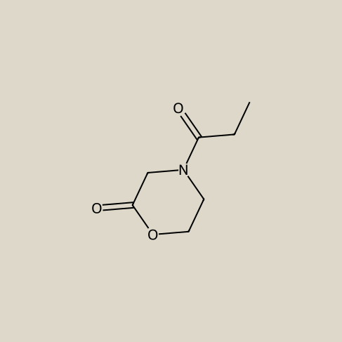 CCC(=O)N1CCOC(=O)C1